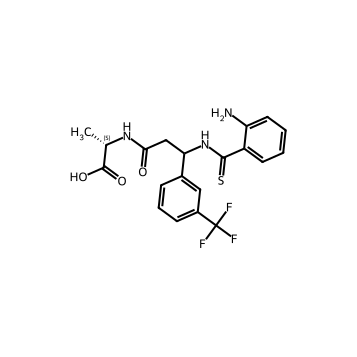 C[C@H](NC(=O)CC(NC(=S)c1ccccc1N)c1cccc(C(F)(F)F)c1)C(=O)O